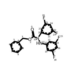 O=C(OCc1ccccc1)N(Nc1cc(F)cc(F)c1)c1cc(F)cc(F)c1